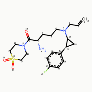 C=CCN(CCC[C@H](N)C(=O)N1CCS(=O)(=O)CC1)C1C[C@H]1c1ccc(F)cc1